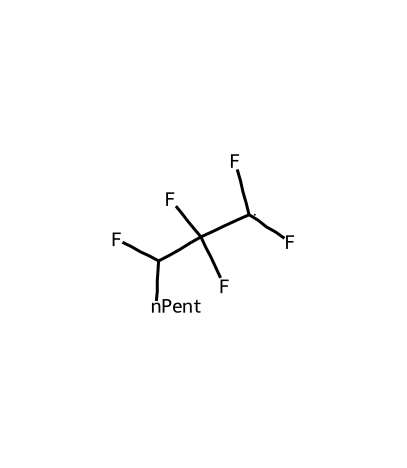 CCCCCC(F)C(F)(F)[C](F)F